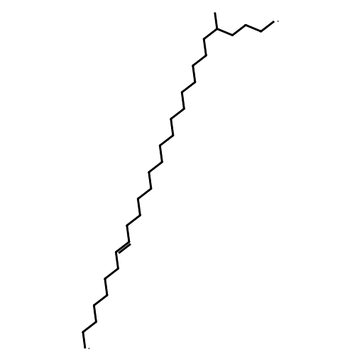 [CH2]CCCCCCC=CCCCCCCCCCCCCCCCC(C)CCC[CH2]